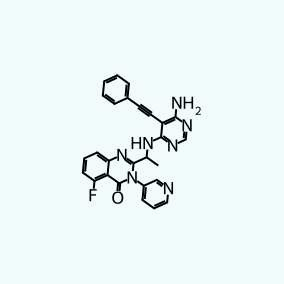 CC(Nc1ncnc(N)c1C#Cc1ccccc1)c1nc2cccc(F)c2c(=O)n1-c1cccnc1